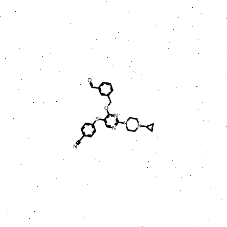 N#Cc1ccc(Sc2cnc(N3CCN(C4CC4)CC3)nc2OCc2cccc(C=O)c2)cc1